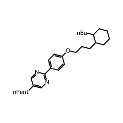 CCCCCc1cnc(-c2ccc(OCCCC3CCCCC3CCCC)cc2)nc1